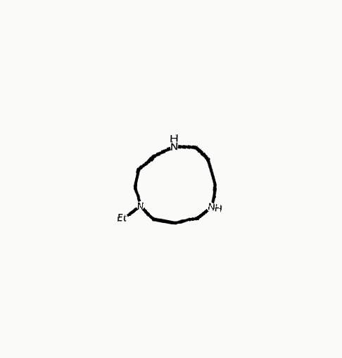 CCN1CCCNCCCNCCC1